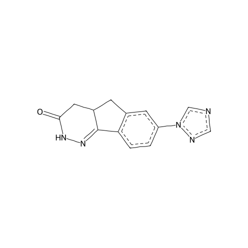 O=C1CC2Cc3cc(-n4cncn4)ccc3C2=NN1